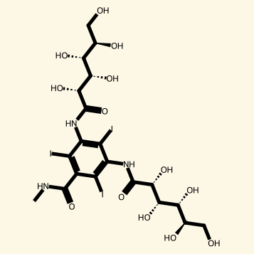 CNC(=O)c1c(I)c(NC(=O)[C@H](O)[C@@H](O)[C@H](O)[C@H](O)CO)c(I)c(NC(=O)[C@H](O)[C@@H](O)[C@H](O)[C@H](O)CO)c1I